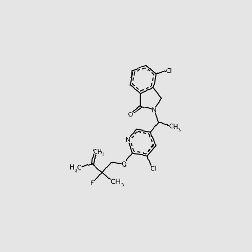 C=C(C)C(C)(F)COc1ncc(C(C)N2Cc3c(Cl)cccc3C2=O)cc1Cl